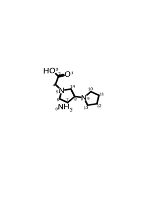 N.O=C(O)CN1CCC(N2CCCC2)C1